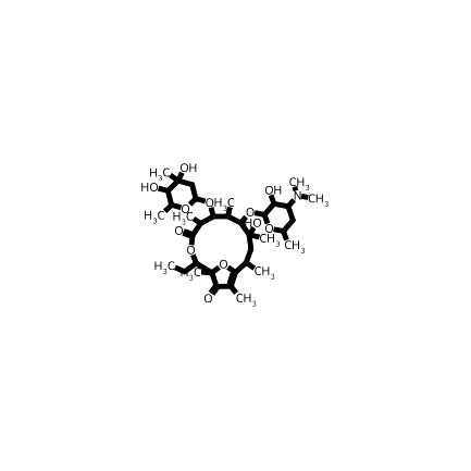 CCC1OC(=O)C(C)C(OC2CC(C)(O)C(O)C(C)O2)C(C)C(OC2OC(C)CC(N(C)C)C2O)C(C)(O)CC(C)C2=C(C)C(=O)C1(C)O2